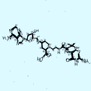 CC1(C)Nc2nc(N)[nH]c(=O)c2N=C1C(=O)NCCN1CCC(SC[C@H]2O[C@@H](n3cnc4c(N)ncnc43)C[C@H]2O)CC1C(=O)O